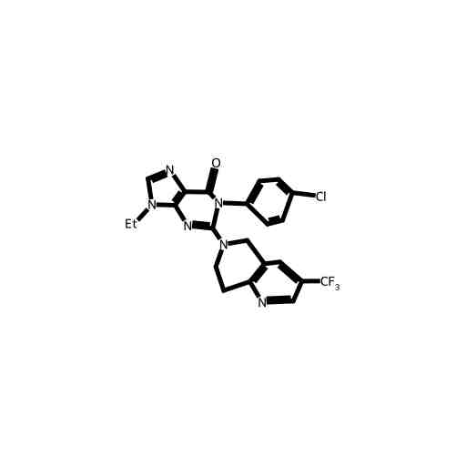 CCn1cnc2c(=O)n(-c3ccc(Cl)cc3)c(N3CCc4ncc(C(F)(F)F)cc4C3)nc21